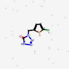 O=c1[nH]nnn1Cc1ccc(Br)s1